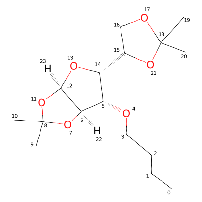 CCCCO[C@@H]1[C@H]2OC(C)(C)O[C@H]2O[C@@H]1C1COC(C)(C)O1